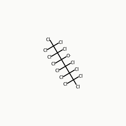 [O]C(Cl)(C(Cl)(Cl)C(Cl)(Cl)Cl)C(Cl)(Cl)C(Cl)(Cl)C(Cl)(Cl)Cl